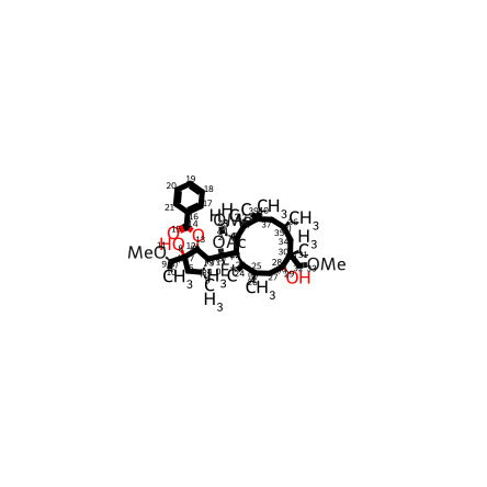 CC[C@@](OC(C)=O)([C@@H]1[C@H](C)C[C@](O)([C@H](C)OC)[C@@H]1OC(=O)c1ccccc1)[C@@H]1C(C)[C@H](C)C[C@@H](O)[C@@](C)(COC)C[C@H](C)CC(C)(C)[C@@H](C)[C@H]1COC